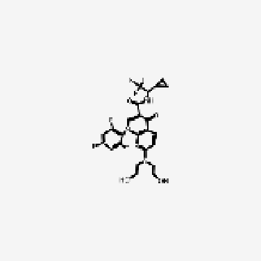 O=C(NC(C1CC1)C(F)(F)F)c1cn(-c2c(F)cc(F)cc2F)c2nc(N(CCO)CCO)ccc2c1=O